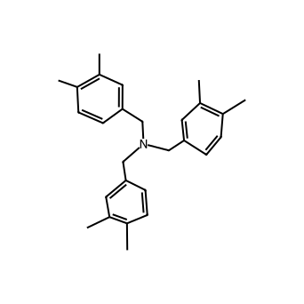 Cc1ccc(CN(Cc2ccc(C)c(C)c2)Cc2ccc(C)c(C)c2)cc1C